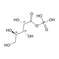 O=C(OP(=O)(O)O)[C@@H](O)[C@H](O)[C@H](O)CO